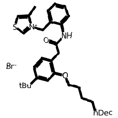 CCCCCCCCCCCCCCOc1cc(C(C)(C)C)ccc1CC(=O)Nc1ccccc1C[n+]1cscc1C.[Br-]